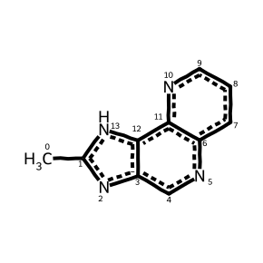 Cc1nc2cnc3cccnc3c2[nH]1